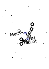 CCCCC[C@H](/C=C/[C@@H]1[C@@H](C/C=C\CCCC(=O)OC)[C@@H](OCc2ccc(-c3ccccc3)cc2)C[C@H]1O)O[Si](c1ccccc1)(c1ccccc1)C(C)(C)C